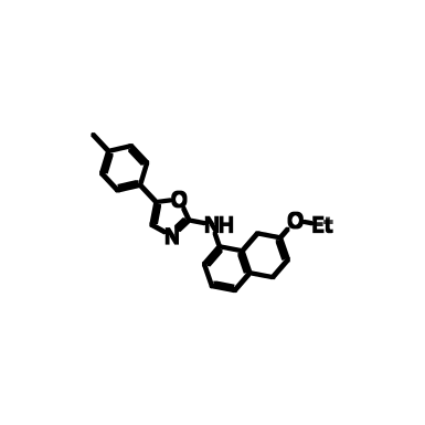 CCOC1=CCc2cccc(Nc3ncc(-c4ccc(C)cc4)o3)c2C1